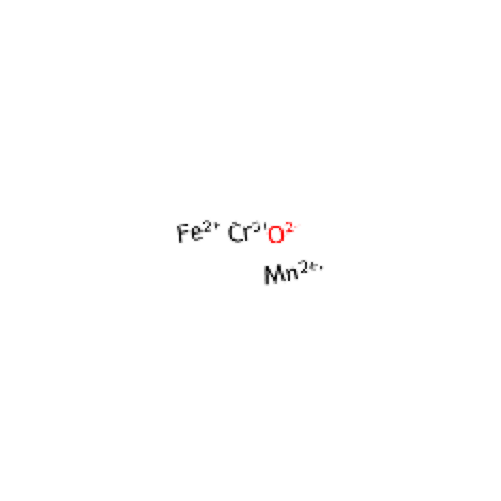 [Cr+3].[Fe+2].[Mn+2].[O-2]